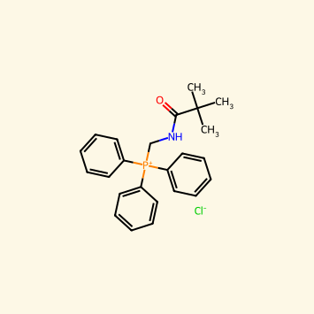 CC(C)(C)C(=O)NC[P+](c1ccccc1)(c1ccccc1)c1ccccc1.[Cl-]